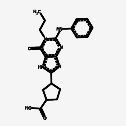 CCCn1c(Nc2ccccc2)nc2nc(C3CCC(C(=O)O)C3)[nH]c2c1=O